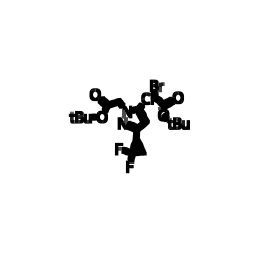 CC(C)(C)OC(=O)CBr.CC(C)(C)OC(=O)Cn1nc(C2CC2(F)F)cc1C(F)(F)F